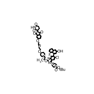 CC(CN1CCC(OCCOCCOc2ccc3c(c2)C(=O)N(C2CCC(=O)NC2=O)C3=O)CC1)Oc1nc(N2CCN(C(=O)OC(C)(C)C)CC2)c2cc(Cl)c(-c3cc(O)cc4ccccc34)c(F)c2n1